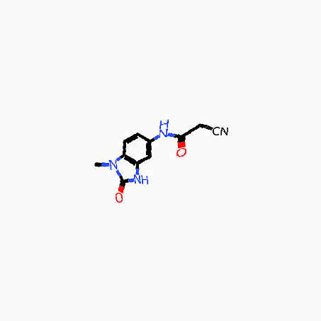 Cn1c(=O)[nH]c2cc(NC(=O)CC#N)ccc21